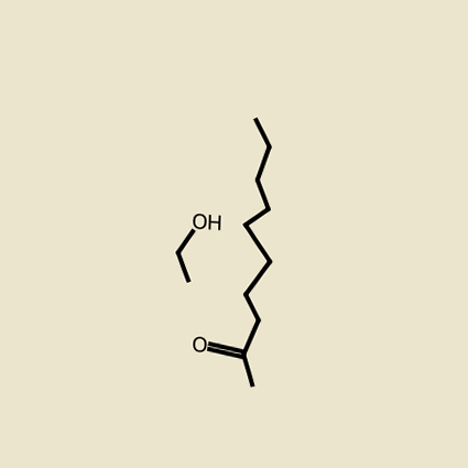 CCCCCCCCC(C)=O.CCO